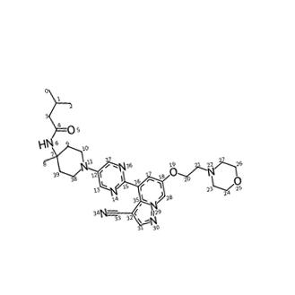 CC(C)CC(=O)NC1(C)CCN(c2cnc(-c3cc(OCCN4CCOCC4)cn4ncc(C#N)c34)nc2)CC1